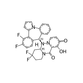 O=C1c2c(O)c(=O)ccn2N([C@@H]2c3ccccc3-n3cccc3-c3c2ccc(F)c3F)[C@@H]2CC(F)(F)CCN12